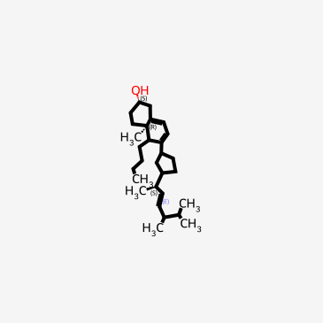 CCCCC1C(C2CCC([C@H](C)/C=C/C(C)C(C)C)C2)=CC=C2C[C@@H](O)CC[C@@]21C